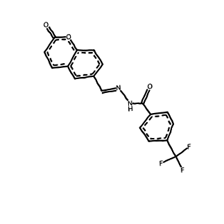 O=C(N/N=C/c1ccc2oc(=O)ccc2c1)c1ccc(C(F)(F)F)cc1